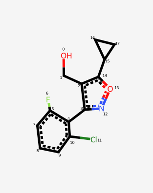 OCc1c(-c2c(F)cccc2Cl)noc1C1CC1